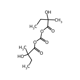 CCC(C)(O)C(=O)OC(=O)OC(=O)C(C)(O)CC